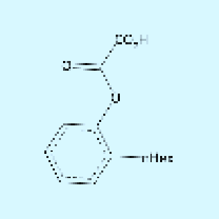 CCCCCCc1ccccc1OC(=O)C(=O)O